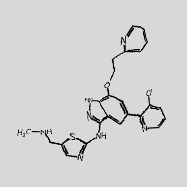 CNCc1cnc(Nc2n[nH]c3c(OCCc4ccccn4)cc(-c4ncccc4Cl)cc23)s1